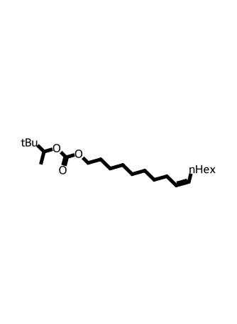 CCCCCC/C=C\CCCCCCCCOC(=O)OC(C)C(C)(C)C